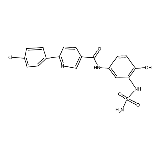 NS(=O)(=O)Nc1cc(NC(=O)c2ccc(-c3ccc(Cl)cc3)nc2)ccc1O